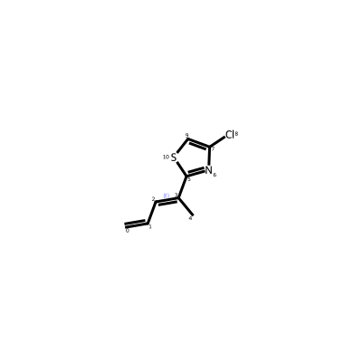 C=C/C=C(\C)c1nc(Cl)cs1